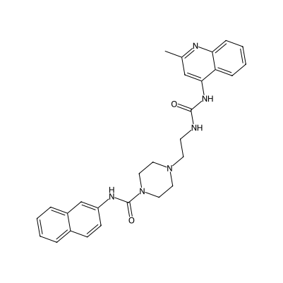 Cc1cc(NC(=O)NCCN2CCN(C(=O)Nc3ccc4ccccc4c3)CC2)c2ccccc2n1